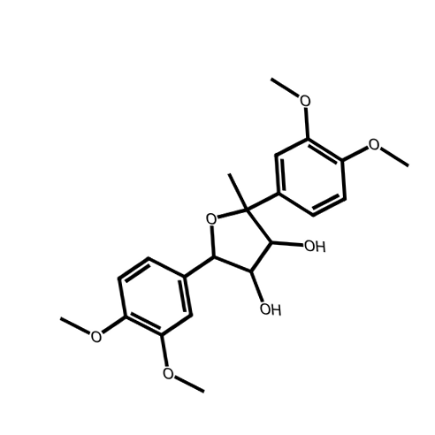 COc1ccc(C2OC(C)(c3ccc(OC)c(OC)c3)C(O)C2O)cc1OC